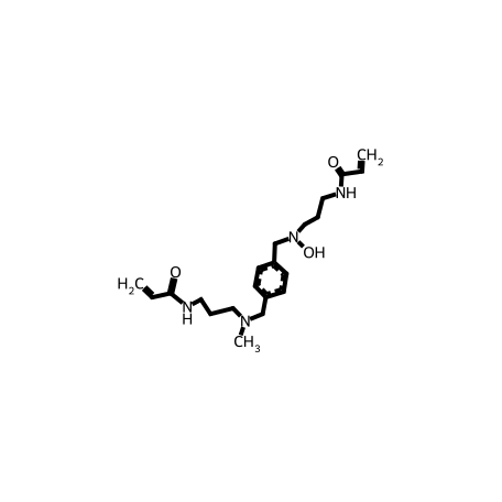 C=CC(=O)NCCCN(C)Cc1ccc(CN(O)CCCNC(=O)C=C)cc1